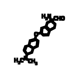 CN(C)C1C=CC2C=C(Oc3ccc4c(c3)CC(N)(C=O)CC4)C=CC2C1